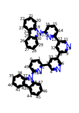 c1cc(-c2cncc(-c3cncc(-c4cccc(-n5c6ccccc6c6ccccc65)n4)c3)c2)nc(-n2c3ccccc3c3ccccc32)c1